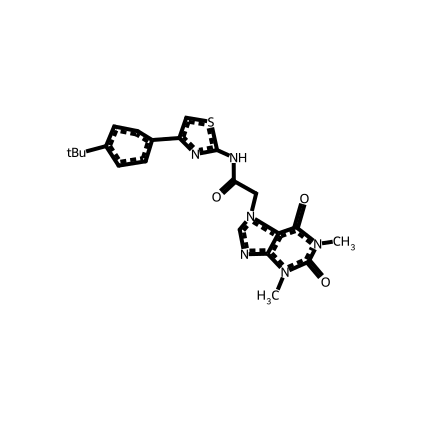 Cn1c(=O)c2c(ncn2CC(=O)Nc2nc(-c3ccc(C(C)(C)C)cc3)cs2)n(C)c1=O